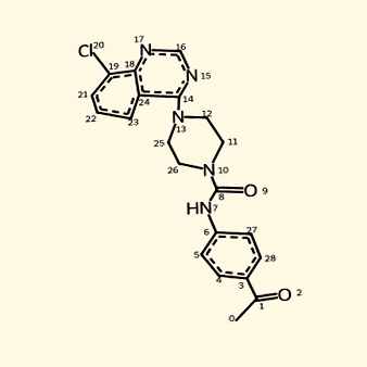 CC(=O)c1ccc(NC(=O)N2CCN(c3ncnc4c(Cl)cccc34)CC2)cc1